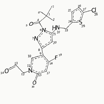 CC(C)(C)C(=O)n1nc(-c2cn(CC=O)c(=O)cc2F)cc1NCc1ccc(Cl)s1